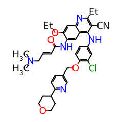 CCOc1cc2nc(CC)c(C#N)c(Nc3ccc(OCc4ccc(C5CCOCC5)nc4)c(Cl)c3)c2cc1NC(=O)/C=C/CN(C)C